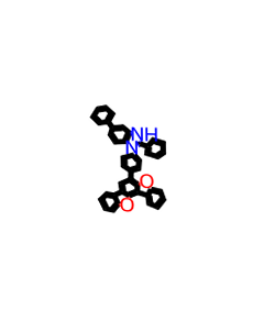 c1ccc(-c2ccc3c(c2)NC(c2ccccc2)N3c2ccc(-c3cc4c5ccccc5oc4c4c3oc3ccccc34)cc2)cc1